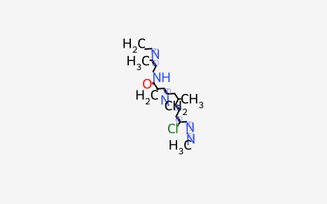 C=C/C=N\C(C)=C\CNC(=O)C(=C)/C=C(/CC(C)/C=C/C=C(Cl)\C=N/C=N/C)N=C